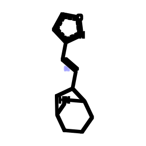 C(=C\C1CC2CCCC1N2)/c1ccon1